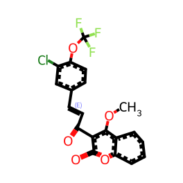 COc1c(C(=O)/C=C/c2ccc(OC(F)(F)F)c(Cl)c2)c(=O)oc2ccccc12